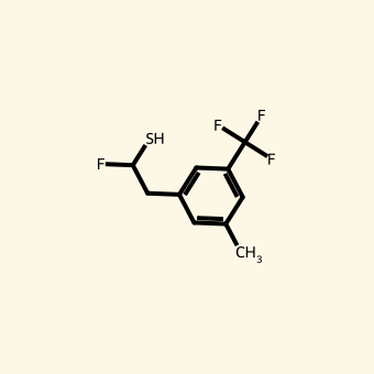 Cc1cc(CC(F)S)cc(C(F)(F)F)c1